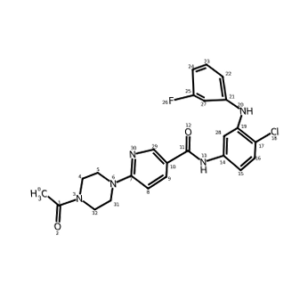 CC(=O)N1CCN(c2ccc(C(=O)Nc3ccc(Cl)c(Nc4cccc(F)c4)c3)cn2)CC1